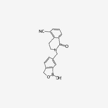 N#Cc1cccc2c1CCN(Cc1ccc3c(c1)B(O)OC3)C2=O